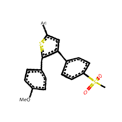 COc1ccc(-c2sc(C(C)=O)cc2-c2ccc(S(C)(=O)=O)cc2)cc1